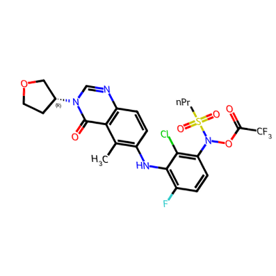 CCCS(=O)(=O)N(OC(=O)C(F)(F)F)c1ccc(F)c(Nc2ccc3ncn([C@@H]4CCOC4)c(=O)c3c2C)c1Cl